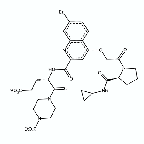 CCOC(=O)N1CCN(C(=O)[C@H](CCC(=O)O)NC(=O)c2cc(OCC(=O)N3CCC[C@H]3C(=O)NC3CC3)c3ccc(CC)cc3n2)CC1